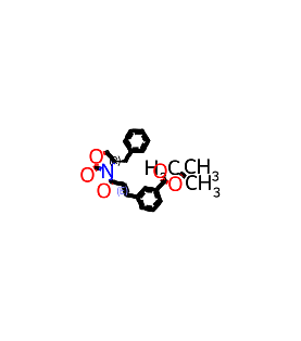 CC(C)(C)OC(=O)c1cccc(/C=C/C(=O)N2C(=O)OC[C@H]2Cc2ccccc2)c1